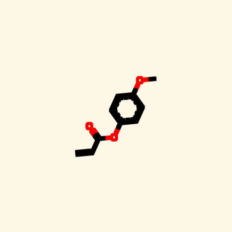 C=CC(=O)Oc1ccc(OC)cc1